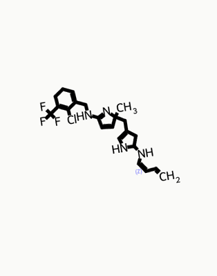 C=C/C=C\NC1CC(CC2(C)C=CC(NCC3=CCCC(C(F)(F)F)=C3Cl)=N2)=CN1